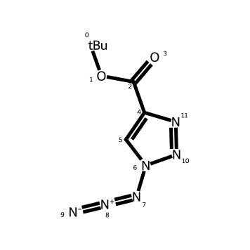 CC(C)(C)OC(=O)c1cn(N=[N+]=[N-])nn1